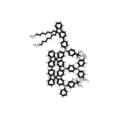 CCCCCCCCC1(CCCCCCCC)c2ccccc2-c2ccc(-c3ccc(N(c4ccc(C(C)(C)C)cc4)c4ccc(C5(c6ccc7c(c6)c6cc(C8(c9ccc(N(c%10ccccc%10)c%10ccc(C(C)(C)C)cc%10)cc9)c9ccccc9-c9ccccc98)ccc6n7-c6ccc(N(c7ccc(C)cc7)c7ccc(C)cc7)cc6)c6ccccc6-c6ccccc65)cc4)cc3)cc21